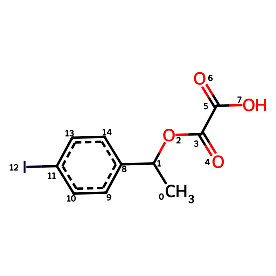 CC(OC(=O)C(=O)O)c1ccc(I)cc1